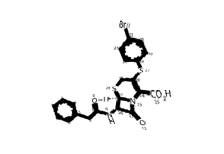 O=C(Cc1ccccc1)N[C@@H]1C(=O)N2C(C(=O)O)=C(Sc3ccc(Br)cc3)CS[C@H]12